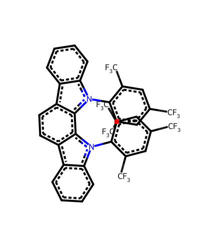 FC(F)(F)c1cc(C(F)(F)F)c(-n2c3ccccc3c3ccc4c5ccccc5n(-c5c(C(F)(F)F)cc(C(F)(F)F)cc5C(F)(F)F)c4c32)c(C(F)(F)F)c1